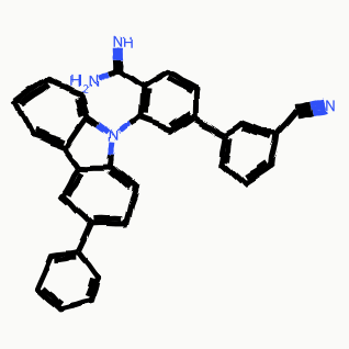 N#Cc1cccc(-c2ccc(C(=N)N)c(-n3c4ccccc4c4cc(-c5ccccc5)ccc43)c2)c1